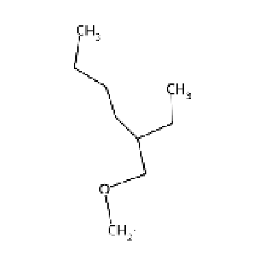 [CH2]OCC(CC)CCCC